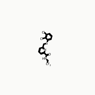 O=C(NCC(F)(F)F)c1cccc(CSc2cccc(Cl)c2Cl)n1